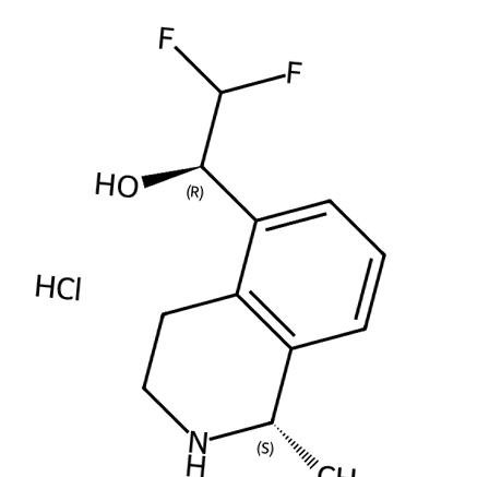 C[C@@H]1NCCc2c1cccc2[C@@H](O)C(F)F.Cl